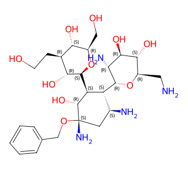 NC[C@H]1O[C@H]([C@H]2[C@H]([C@@H]3O[C@H](CO)[C@@H](O)[C@H](CCO)[C@H]3O)[C@@H](O)[C@@](N)(OCc3ccccc3)C[C@@H]2N)[C@H](N)[C@@H](O)[C@@H]1O